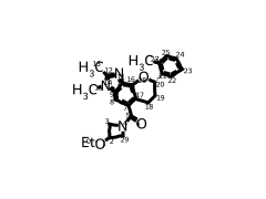 CCOC1CN(C(=O)c2cc3c(nc(C)n3C)c3c2CC[C@@H](c2ccccc2C)O3)C1